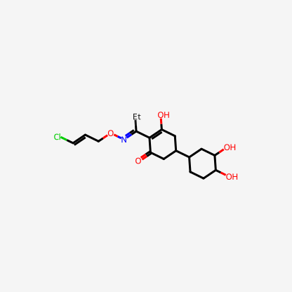 CCC(=NOCC=CCl)C1=C(O)CC(C2CCC(O)C(O)C2)CC1=O